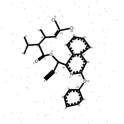 C#CC(OC(=O)C(C(C)C)C(C)C=C(Cl)Cl)c1nc(Oc2ccccc2)cc2ccccc12